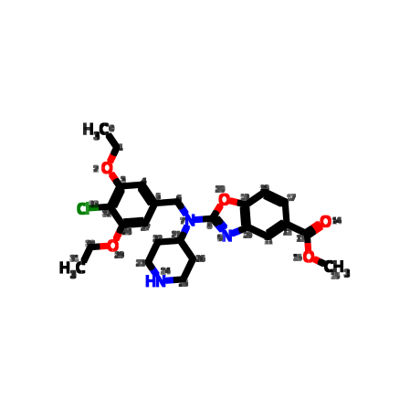 CCOc1cc(CN(c2nc3cc(C(=O)OC)ccc3o2)C2CCNCC2)cc(OCC)c1Cl